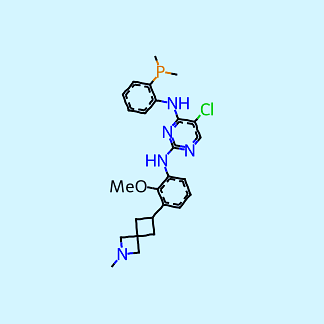 COc1c(Nc2ncc(Cl)c(Nc3ccccc3P(C)C)n2)cccc1C1CC2(C1)CN(C)C2